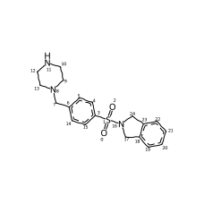 O=S(=O)(c1ccc(CN2CCNCC2)cc1)N1Cc2ccccc2C1